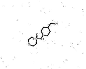 CC(C)CC1CCC(N[SH]2(=O)CCOCC2)CC1